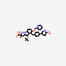 COc1ccc(-c2ccc(Cc3c(OCc4ccccn4)ccc4[nH]c(CC(C)(C)C(=O)O)c(SC(C)(C)C)c34)cc2)cn1